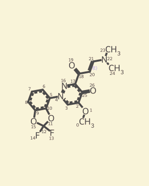 COc1cn(-c2cccc3c2OC(F)(F)O3)nc(C(=O)/C=C/N(C)C)c1=O